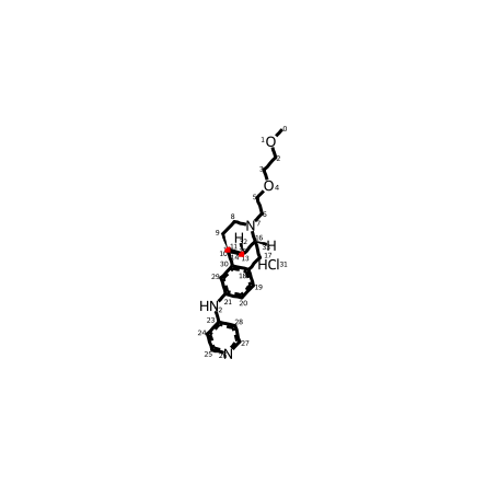 COCCOCCN1CC[C@]23CCCC[C@H]2[C@H]1Cc1ccc(Nc2ccncc2)cc13.Cl